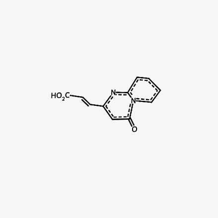 O=C(O)C=Cc1cc(=O)n2ccccc2n1